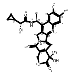 CC[C@@]1(O)C(=O)OCc2c1cc1n(c2=O)Cc2c-1nc1cc(F)c(Cl)cc1c2[C@H](C)NC(=O)[C@H](O)C1CC1